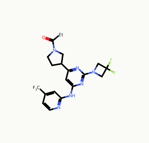 CCC(=O)N1CCC(c2cc(Nc3cc(C(F)(F)F)ccn3)nc(N3CC(F)(F)C3)n2)C1